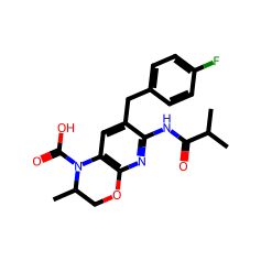 CC(C)C(=O)Nc1nc2c(cc1Cc1ccc(F)cc1)N(C(=O)O)C(C)CO2